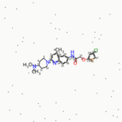 Cc1cc(N2CCC(N(C)C)CC2)nc2ccc(NC(=O)COc3cc(Cl)cs3)cc12